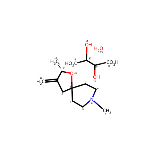 C=C1CC2(CCN(C)CC2)O[C@H]1C.O.O=C(O)C(O)C(O)C(=O)O